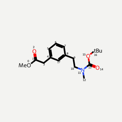 COC(=O)Cc1cccc(CCN(C)C(=O)OC(C)(C)C)c1